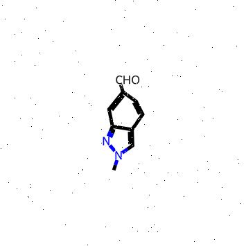 Cn1cc2ccc(C=O)cc2n1